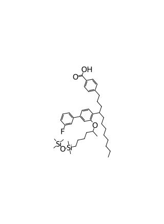 CCCCCCCCC(CCCc1ccc(C(=O)O)cc1)c1ccc(-c2cccc(F)c2)cc1OC(C)CCCC[Si](C)(C)O[Si](C)(C)C